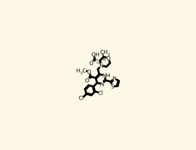 COC(=O)C1=C(CN2CCO[C@H](C)[C@H]2C(=O)O)NC(c2nccs2)=NC1c1ccc(Cl)cc1Cl